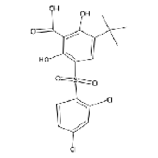 CC(C)(C)c1cc(S(=O)(=O)c2ccc(Cl)cc2Cl)c(O)c(C(=O)O)c1O